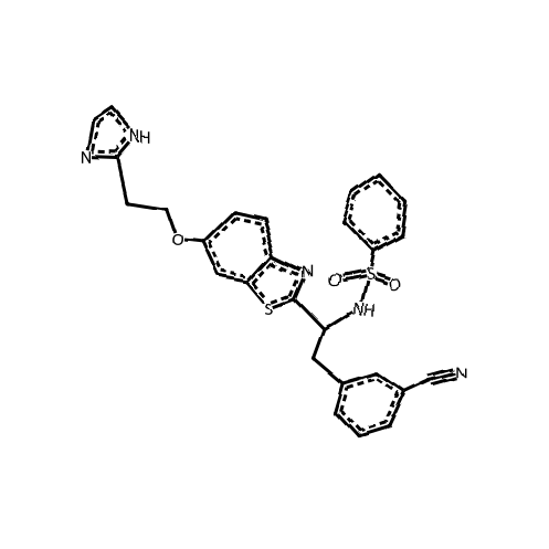 N#Cc1cccc(CC(NS(=O)(=O)c2ccccc2)c2nc3ccc(OCCc4ncc[nH]4)cc3s2)c1